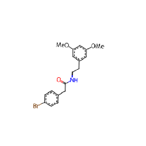 COc1cc(CCNC(=O)Cc2ccc(Br)cc2)cc(OC)c1